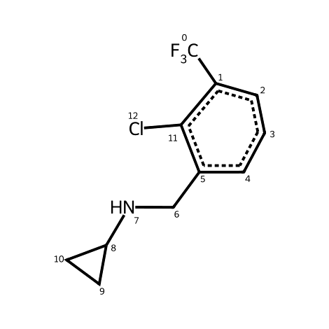 FC(F)(F)c1cccc(CNC2CC2)c1Cl